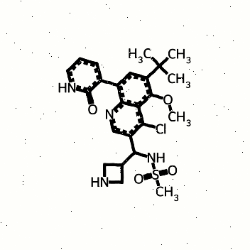 COc1c(C(C)(C)C)cc(-c2ccc[nH]c2=O)c2ncc(C(NS(C)(=O)=O)C3CNC3)c(Cl)c12